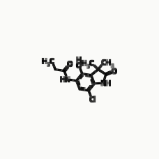 CCC(=O)Nc1cc(Cl)c2c(c1O)C(C)(C)C(=O)N2